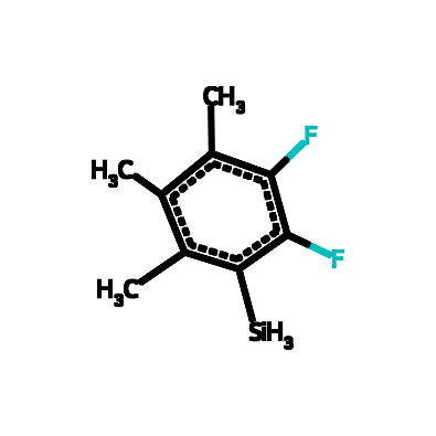 Cc1c(C)c(F)c(F)c([SiH3])c1C